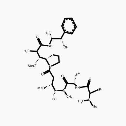 CCC(C)N(C)C(C(=O)N[C@H](C(=O)N(C)[C@@H]([C@@H](C)CC)[C@@H](CC(=O)N1CCC[C@H]1[C@H](OC)C(C)C(=O)N[C@H](C)[C@@H](O)c1ccccc1)OC)C(C)C)C(C)C